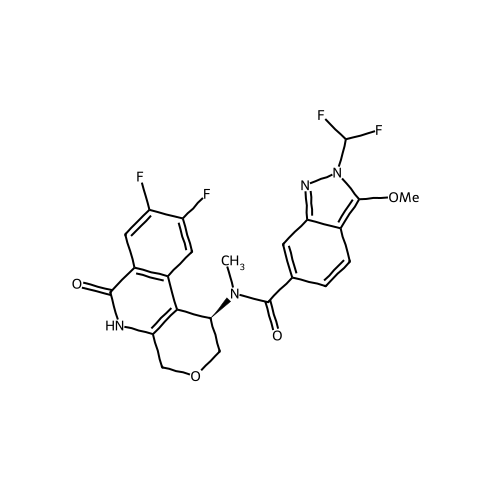 COc1c2ccc(C(=O)N(C)[C@H]3COCc4[nH]c(=O)c5cc(F)c(F)cc5c43)cc2nn1C(F)F